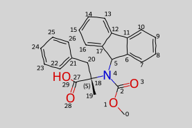 COC(=O)N(C1c2ccccc2-c2ccccc21)[C@@](C)(Cc1ccccc1)C(=O)O